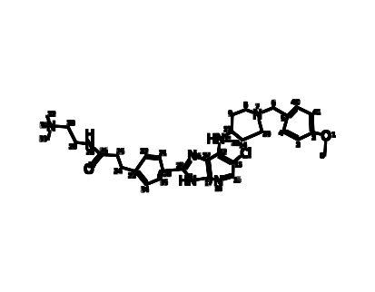 COc1ccc(CN2CCC(Nc3c(Cl)cnc4[nH]c(-c5ccc(CCC(=O)NCCN(C)C)cc5)nc34)CC2)cc1